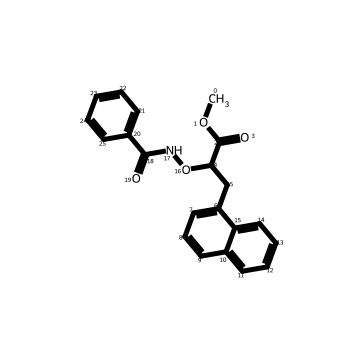 COC(=O)C(Cc1cccc2ccccc12)ONC(=O)c1ccccc1